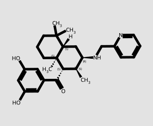 C[C@@H]1[C@H](NCc2ccccn2)C[C@H]2C(C)(C)CCC[C@]2(C)[C@H]1C(=O)c1cc(O)cc(O)c1